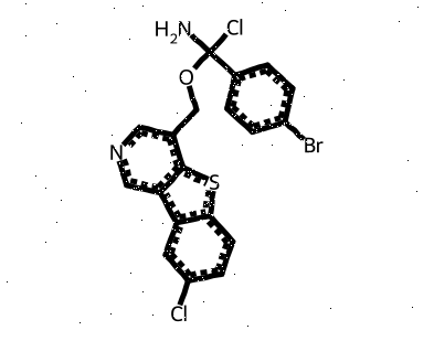 NC(Cl)(OCc1cncc2c1sc1ccc(Cl)cc12)c1ccc(Br)cc1